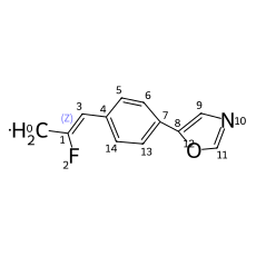 [CH2]/C(F)=C/c1ccc(-c2cnco2)cc1